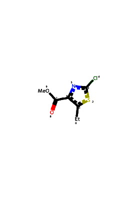 CCc1sc(Cl)nc1C(=O)OC